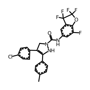 Cc1ccc(C2=C(c3ccc(Cl)cc3)CN(C(=O)Nc3cc(F)c4c(c3)C(F)(F)C(F)(F)O4)N2)cc1